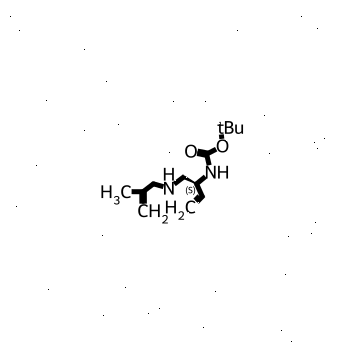 C=C[C@@H](CNCC(=C)C)NC(=O)OC(C)(C)C